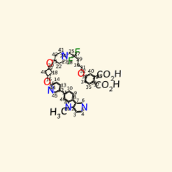 Cn1c2ccncc2c2ccc(-c3ccc(OC4CC(OC5CCN(CC(F)(F)CCCOc6ccc(C(=O)O)c(C(=O)O)c6)CC5)C4)nc3)cc21